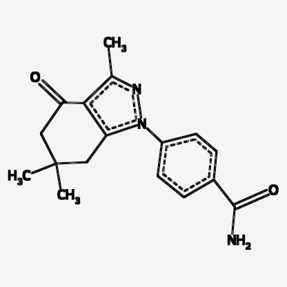 Cc1nn(-c2ccc(C(N)=O)cc2)c2c1C(=O)CC(C)(C)C2